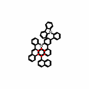 c1ccc(-c2cc(-c3ccccc3-n3c4ccccc4c4ccccc43)ccc2N(c2ccc(-c3cccc4ccccc34)cc2)c2ccccc2-c2cc3ccccc3c3ccccc23)cc1